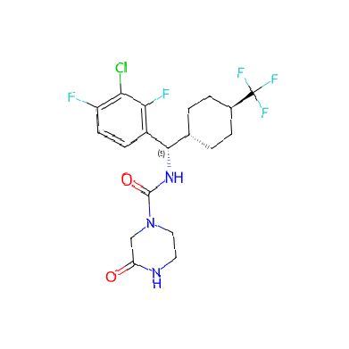 O=C1CN(C(=O)N[C@H](c2ccc(F)c(Cl)c2F)[C@H]2CC[C@H](C(F)(F)F)CC2)CCN1